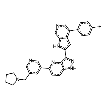 Fc1ccc(-c2cncc3[nH]c(-c4n[nH]c5ccc(-c6cncc(CN7CCCC7)c6)nc45)cc23)cc1